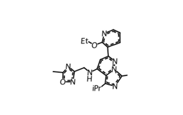 CCOc1ncccc1-c1cc(NCc2noc(C)n2)c2c(C(C)C)nc(C)n2n1